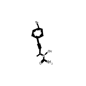 CC(C#Cc1ccc(Br)cc1)N(O)C(N)=O